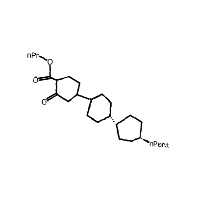 CCCCC[C@H]1CC[C@H](C2CCC(C3CCC(C(=O)OCCC)C(=O)C3)CC2)CC1